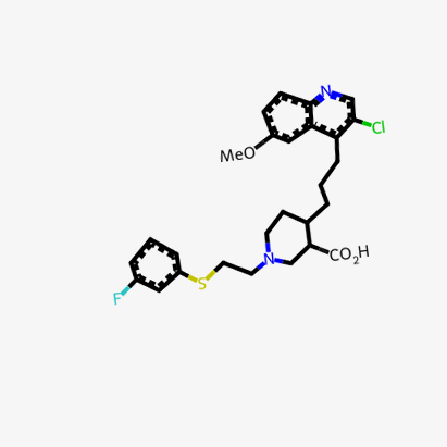 COc1ccc2ncc(Cl)c(CCCC3CCN(CCSc4cccc(F)c4)CC3C(=O)O)c2c1